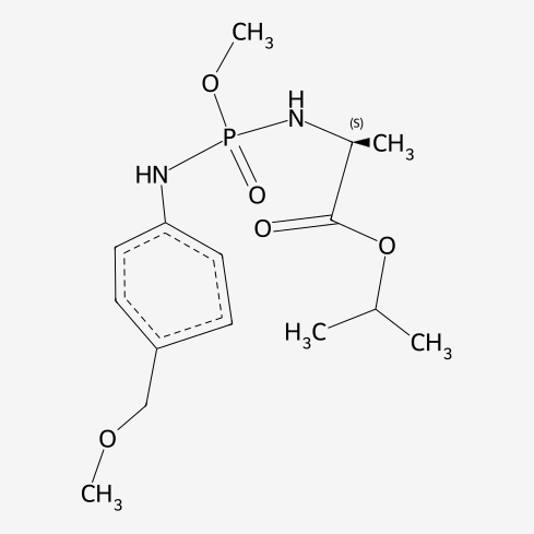 COCc1ccc(NP(=O)(N[C@@H](C)C(=O)OC(C)C)OC)cc1